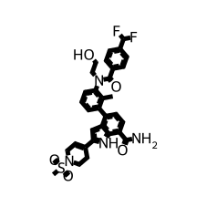 Cc1c(-c2ccc(C(N)=O)c3[nH]c(C4=CCN(S(C)(=O)=O)CC4)cc23)cccc1N(CCO)C(=O)c1ccc(C(F)F)cc1